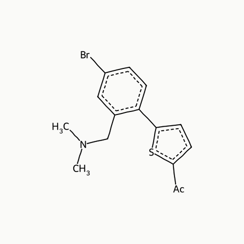 CC(=O)c1ccc(-c2ccc(Br)cc2CN(C)C)s1